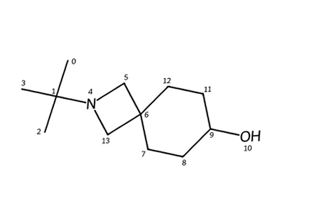 CC(C)(C)N1CC2(CCC(O)CC2)C1